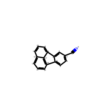 N#Cc1ccc2c(c1)-c1cccc3cccc-2c13